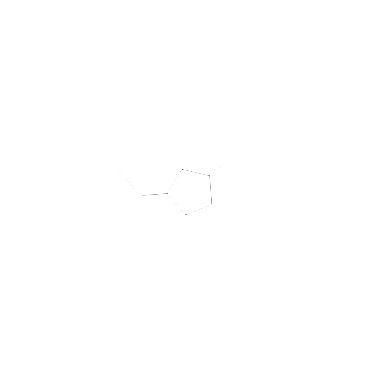 CC(C)OC1CCC(C(=O)O)C1